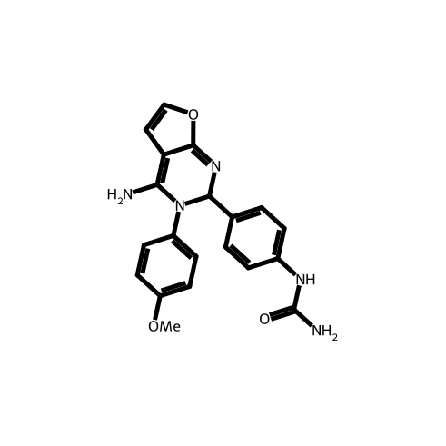 COc1ccc(N2C(N)=c3ccoc3=NC2c2ccc(NC(N)=O)cc2)cc1